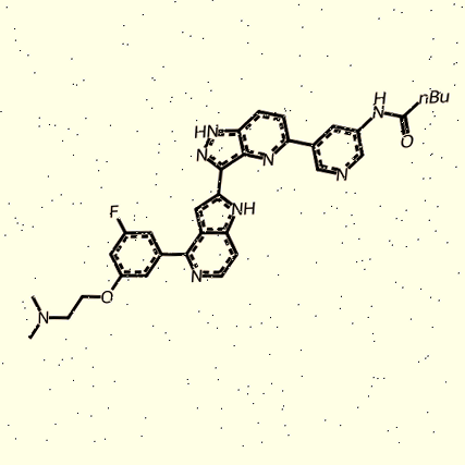 CCCCC(=O)Nc1cncc(-c2ccc3[nH]nc(-c4cc5c(-c6cc(F)cc(OCCN(C)C)c6)nccc5[nH]4)c3n2)c1